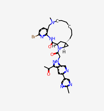 CC(=O)c1nn(CC(=O)N2[C@H]3C[C@@]4(CCCCCCCN(C)Cc5ccc(Br)nc5NC3=O)C[C@@H]24)c2cnc(-c3cnc(C)nc3)cc12